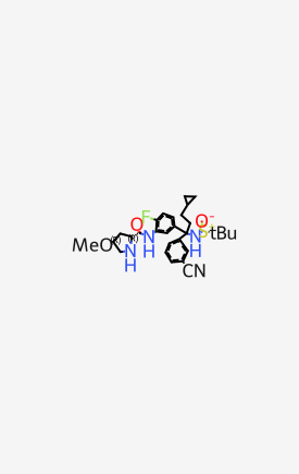 CO[C@H]1CN[C@@H](C(=O)Nc2cc(C(CCC3CC3)(N[S+]([O-])C(C)(C)C)c3cccc(C#N)c3)ccc2F)C1